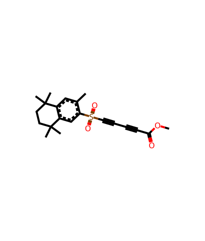 COC(=O)C#CC#CS(=O)(=O)c1cc2c(cc1C)C(C)(C)CCC2(C)C